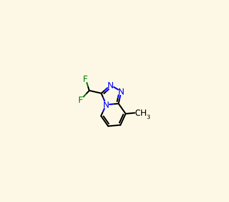 Cc1cccn2c(C(F)F)nnc12